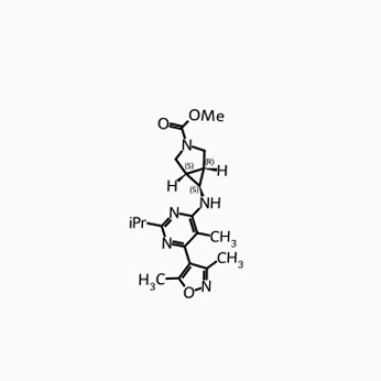 COC(=O)N1C[C@@H]2[C@H](C1)[C@H]2Nc1nc(C(C)C)nc(-c2c(C)noc2C)c1C